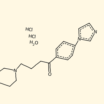 CC1CCN(CCCC(=O)c2ccc(-n3ccnc3)cc2)CC1.Cl.Cl.O